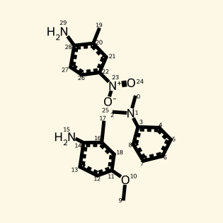 CN(C)c1ccccc1.COc1ccc(N)c(C)c1.Cc1cc([N+](=O)[O-])ccc1N